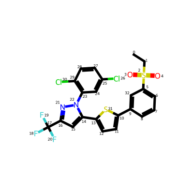 CCS(=O)(=O)c1cccc(-c2ccc(-c3cc(C(F)(F)F)nn3-c3cc(Cl)ccc3Cl)s2)c1